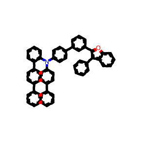 c1ccc(-c2ccc(-c3ccccc3N(c3ccc(-c4ccccc4)cc3)c3ccc(-c4cccc(-c5oc6ccccc6c5-c5ccccc5)c4)cc3)cc2)cc1